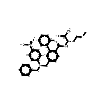 CSCC[C@H](NC(=O)c1ccc(CN(Cc2ccccc2)c2ccc([N+](=O)[O-])cc2)cc1-c1ccccc1C)C(=O)O